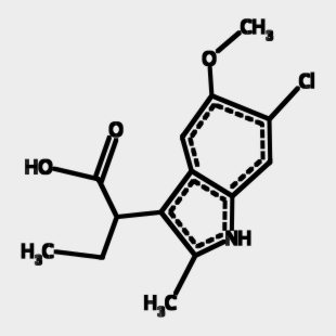 CCC(C(=O)O)c1c(C)[nH]c2cc(Cl)c(OC)cc12